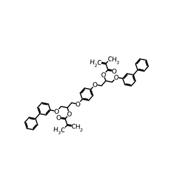 C=C(C)C(=O)OC(COc1ccc(OCC(COc2cccc(-c3ccccc3)c2)OC(=O)C(=C)C)cc1)COc1cccc(-c2ccccc2)c1